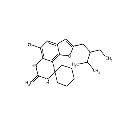 C=C1Nc2c(Cl)cc3cc(CN(CC)C(C)C)oc3c2C2(CCCCC2)N1